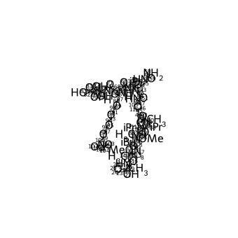 CC[C@H](C)[C@@H]([C@@H](CC(=O)N1CCC[C@H]1[C@H](OC)[C@@H](C)C(=O)N[C@H](C)[C@@H](O)c1ccccc1)OC)N(C)C(=O)[C@@H](NC(=O)[C@H](C(C)C)N(C)C(=O)OCc1ccc(NC(=O)[C@H](CCCNC(N)=O)NC(=O)[C@@H](NC(=O)[C@@H](CCC(=O)NC[C@@H](O)[C@H](O)[C@@H](O)[C@@H](O)CO)NC(=O)CCOCCOCCOCCOCCN2C(=O)C=CC2=O)C(C)C)cc1)C(C)C